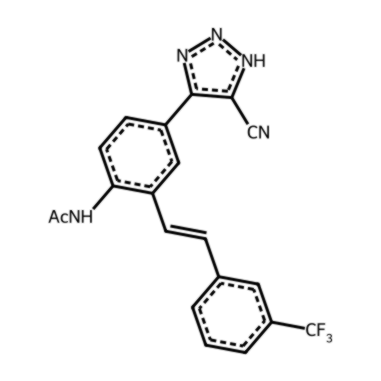 CC(=O)Nc1ccc(-c2nn[nH]c2C#N)cc1/C=C/c1cccc(C(F)(F)F)c1